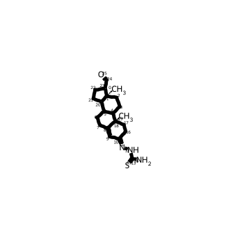 C[C@]12CCC3C(CCC4=C/C(=N/NC(N)=S)CC[C@@]43C)C1CCC2C=O